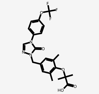 Cc1cc(Cn2ncn(-c3ccc(OC(F)(F)F)cc3)c2=O)cc(C)c1OC(C)(C)C(=O)O